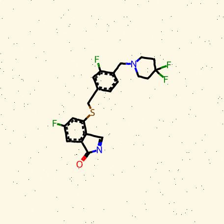 O=C1N=Cc2c(SCc3ccc(CN4CCC(F)(F)CC4)c(F)c3)cc(F)cc21